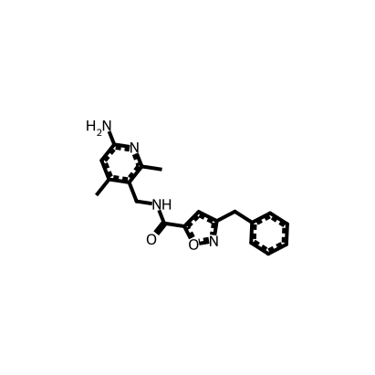 Cc1cc(N)nc(C)c1CNC(=O)c1cc(Cc2ccccc2)no1